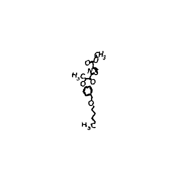 CCCCCCOCc1ccc(OC(C)C(=O)c2nc(C(=O)OC)cs2)cc1